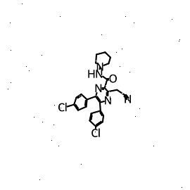 N#CCc1nc(-c2ccc(Cl)cc2)c(-c2ccc(Cl)cc2)nc1C(=O)NN1CCCCC1